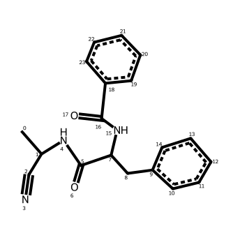 CC(C#N)NC(=O)C(Cc1ccccc1)NC(=O)c1ccccc1